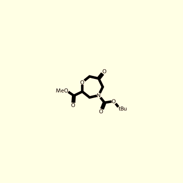 COC(=O)C1CN(C(=O)OC(C)(C)C)CC(=O)CO1